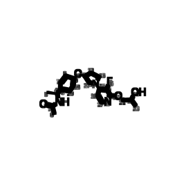 CC(=O)N[C@@H](C)c1ccc(O[C@@H]2CCN(c3ccnc(OCC(C)O)c3F)C2)cc1